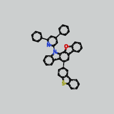 c1ccc(-c2cc(-c3ccccc3)nc(-n3c4ccccc4c4c(-c5ccc6sc7ccccc7c6c5)cc5c6ccccc6oc5c43)c2)cc1